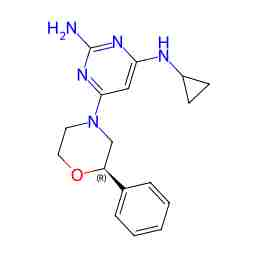 Nc1nc(NC2CC2)cc(N2CCO[C@H](c3ccccc3)C2)n1